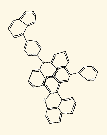 c1ccc(-c2ccc(-c3ccccc3N(c3ccc(-c4cccc5ccccc45)cc3)c3ccccc3-c3ccc4c(c3)-c3cccc5cccc(c35)O4)cc2)cc1